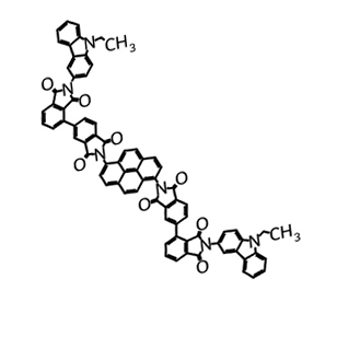 CCn1c2ccccc2c2cc(N3C(=O)c4cccc(-c5ccc6c(c5)C(=O)N(c5ccc7ccc8c(N9C(=O)c%10ccc(-c%11cccc%12c%11C(=O)N(c%11ccc%13c(c%11)c%11ccccc%11n%13CC)C%12=O)cc%10C9=O)ccc9ccc5c7c98)C6=O)c4C3=O)ccc21